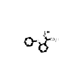 O=C(O)C(=NO)c1ccccc1Oc1ccccc1